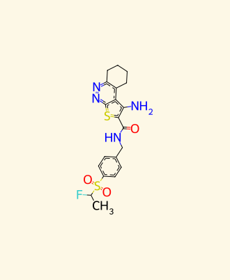 CC(F)S(=O)(=O)c1ccc(CNC(=O)c2sc3nnc4c(c3c2N)CCCC4)cc1